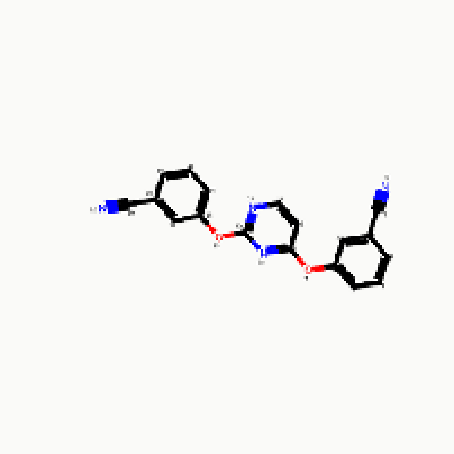 N#Cc1cccc(Oc2ccnc(Oc3cccc(C#N)c3)n2)c1